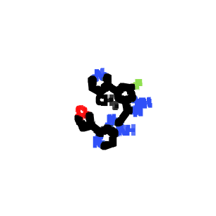 Cc1ccncc1-c1cc(F)c2[nH]nc(-c3nc4c(-c5ccoc5)nccc4[nH]3)c2c1